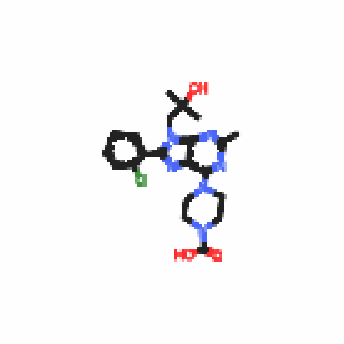 Cc1nc(N2CCN(C(=O)O)CC2)c2nc(-c3ccccc3Cl)n(CC(C)(C)O)c2n1